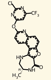 C[C@@H]1CNc2c(oc3ccc4nc(Oc5cc(C(F)(F)F)nc(Cl)n5)ccc4c23)C(=O)N1